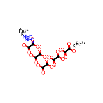 O=C([O-])C(=O)[O-].O=C([O-])C(=O)[O-].O=C([O-])C(=O)[O-].O=C([O-])C(=O)[O-].O=C([O-])C(=O)[O-].[Fe+3].[Fe+3].[K+].[K+].[NH4+].[NH4+]